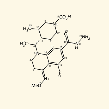 CO/N=C1\CCN(C(C)[C@H]2CCN(C(=O)O)C[C@H]2C)c2cc(C(=O)NN)cc(F)c21